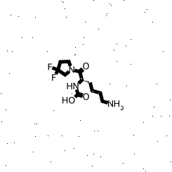 NCCCC[C@H](NC(=O)O)C(=O)N1CCC(F)(F)C1